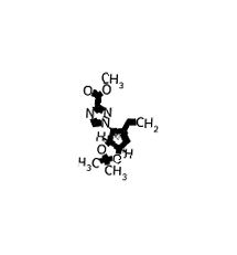 C=CC1=C[C@H]2OC(C)(C)O[C@H]2[C@@H]1n1cnc(C(=O)OC)n1